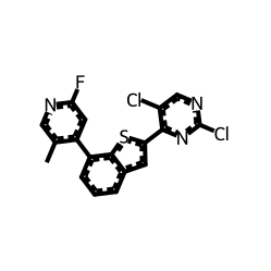 Cc1cnc(F)cc1-c1cccc2cc(-c3nc(Cl)ncc3Cl)sc12